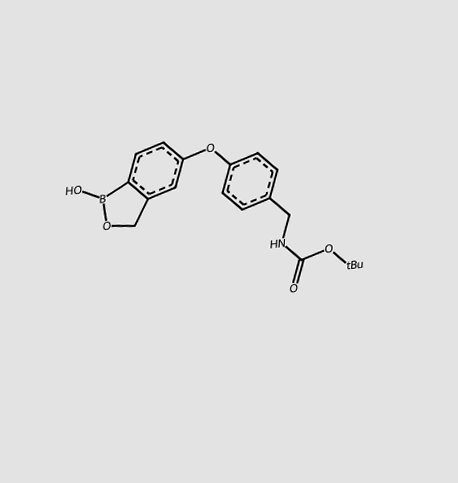 CC(C)(C)OC(=O)NCc1ccc(Oc2ccc3c(c2)COB3O)cc1